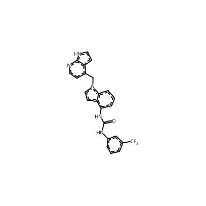 O=C(Nc1cccc(C(F)(F)F)c1)Nc1cccc2c1ccn2Cc1ccnc2[nH]ccc12